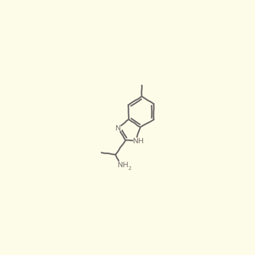 Cc1ccc2[nH]c(C(C)N)nc2c1